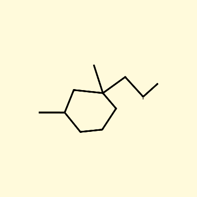 C[CH]CC1(C)CCCC(C)C1